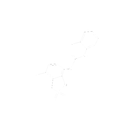 O=C(Nc1ccccc1Br)Nc1ccc(Br)c2c1NS(=O)(=O)C2